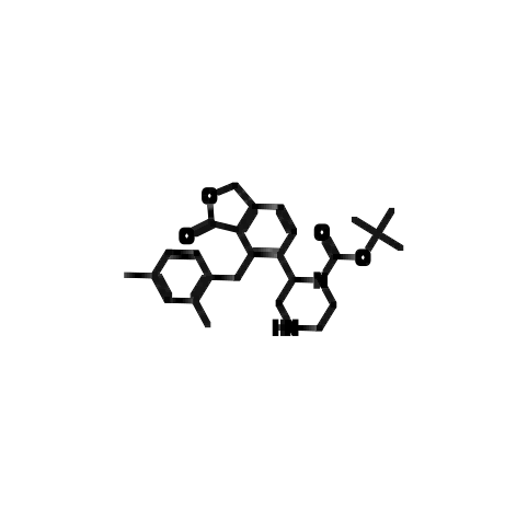 Cc1ccc(Cc2c(C3CNCCN3C(=O)OC(C)(C)C)ccc3c2C(=O)OC3)c(C)c1